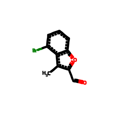 Cc1c(C=O)oc2cccc(Br)c12